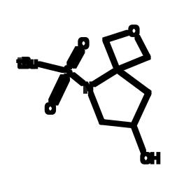 CC(C)(C)S(=O)(=O)N1CC(O)CC12COC2